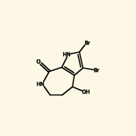 O=C1NCCC(O)c2c1[nH]c(Br)c2Br